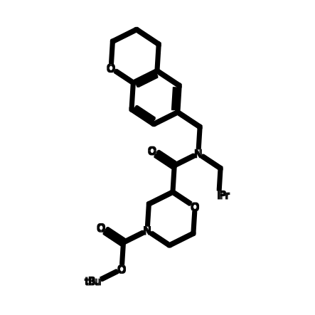 CC(C)CN(Cc1ccc2c(c1)CCCO2)C(=O)C1CN(C(=O)OC(C)(C)C)CCO1